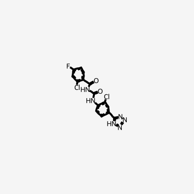 O=C(NC(=O)c1ccc(F)cc1Cl)Nc1ccc(-c2nnn[nH]2)cc1Cl